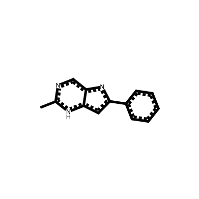 Cc1n[c]c2nc(-c3ccccc3)cc-2[nH]1